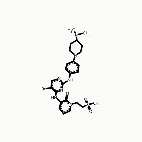 CN(C)C1CCN(c2ccc(Nc3ncc(Br)c(Nc4cccn(CCS(C)(=O)=O)c4=O)n3)cc2)CC1